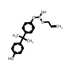 C=CCOP(O)Oc1ccc(C(C)(C)c2ccc(O)cc2)cc1